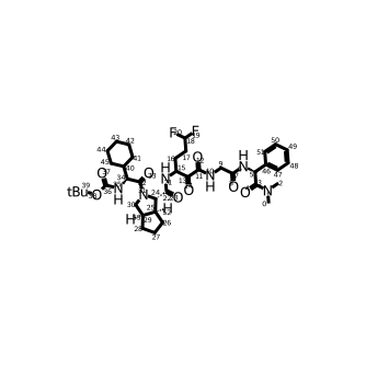 CN(C)C(=O)[C@@H](NC(=O)CNC(=O)C(=O)C(CCC(F)F)NC(=O)[C@@H]1[C@H]2CCC[C@H]2CN1C(=O)[C@@H](NC(=O)OC(C)(C)C)C1CCCCC1)c1ccccc1